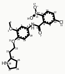 COc1cc(NC(=O)c2cc(Cl)ccc2[N+](=O)[O-])ccc1OCCC1CCCN1